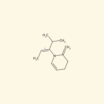 C=C1CCC=CN1/C(=C\C)C(C)C